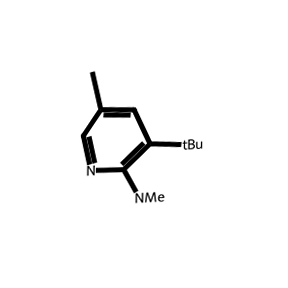 CNc1ncc(C)cc1C(C)(C)C